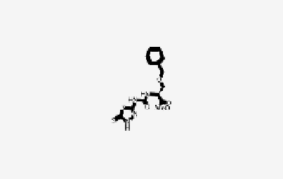 COC(=O)[C@H](COCc1ccccc1)NC(=O)Nc1n[nH]c(=S)s1